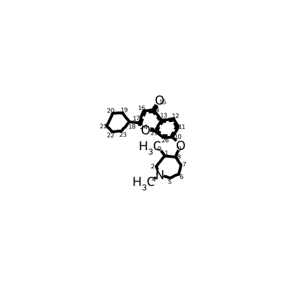 CC1CN(C)CCCC1Oc1ccc2c(=O)cc(C3CCCCC3)oc2c1